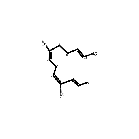 CC=CC(=CCC=C(CC)CCC=CCC)CC